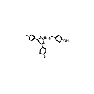 Cc1ccc(-c2cc(-c3ccc(F)cc3)nc(NN=Cc3ccc(O)cc3)n2)cc1